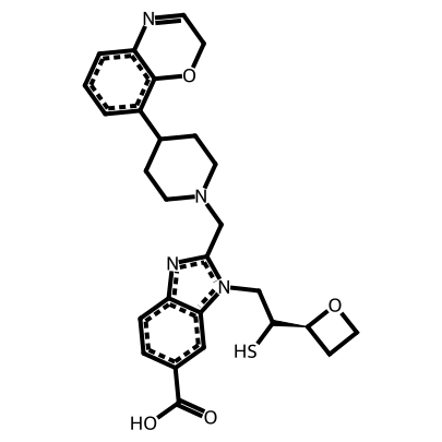 O=C(O)c1ccc2nc(CN3CCC(c4cccc5c4OCC=N5)CC3)n(CC(S)[C@@H]3CCO3)c2c1